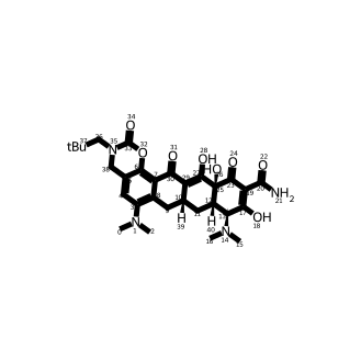 CN(C)c1cc2c(c3c1C[C@H]1C[C@H]4[C@H](N(C)C)C(O)=C(C(N)=O)C(=O)[C@@]4(O)C(O)=C1C3=O)OC(=O)N(CC(C)(C)C)C2